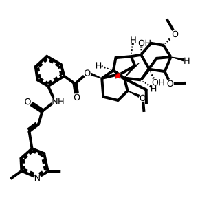 CCN1C[C@]2(OC(=O)c3ccccc3NC(=O)/C=C/c3cc(C)nc(C)c3)CC[C@H](OC)[C@]34C1[C@@H](C[C@H]23)[C@@]1(O)C[C@H](OC)[C@H]2C[C@@H]4[C@]1(O)C2OC